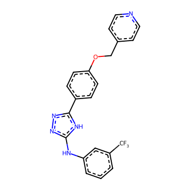 FC(F)(F)c1cccc(Nc2nnc(-c3ccc(OCc4ccncc4)cc3)[nH]2)c1